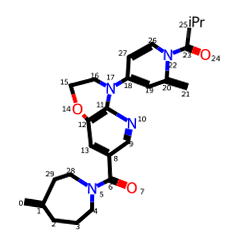 C=C1CCCN(C(=O)c2cnc3c(c2)OCCN3C2=CC(=C)N(C(=O)C(C)C)C=C2)CC1